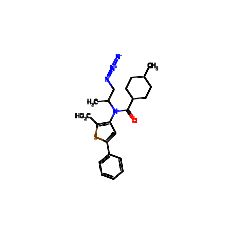 CC1CCC(C(=O)N(c2cc(-c3ccccc3)sc2C(=O)O)C(C)CN=[N+]=[N-])CC1